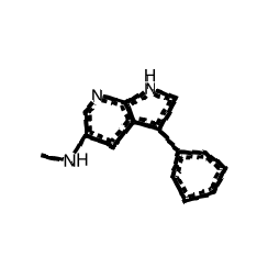 CNc1cnc2[nH]cc(-c3ccccc3)c2c1